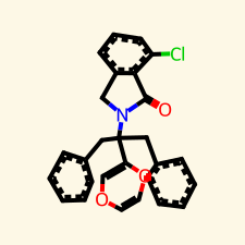 O=C1c2c(Cl)cccc2CN1C(Cc1ccccc1)(Cc1ccccc1)C1=COC=CO1